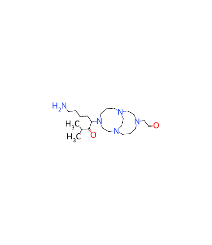 CC(C)C(=O)C(CCCCN)N1CCCN2CCN(CC=O)CCCN(CC2)CC1